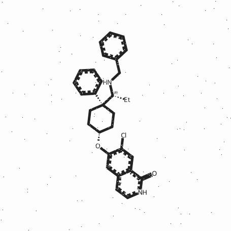 CC[C@@H](NCc1ccccc1)[C@]1(c2ccccc2)CC[C@@H](Oc2cc3cc[nH]c(=O)c3cc2Cl)CC1